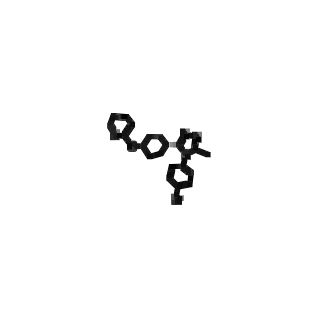 Cc1nnc([C@H]2CC[C@H](Oc3ccccn3)CC2)n1-c1ccc(Br)cc1